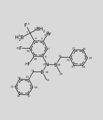 BC(B)(F)c1c(Br)cc(N(B(C)Cc2ccccc2)B(C)Cc2ccccc2)c(F)c1F